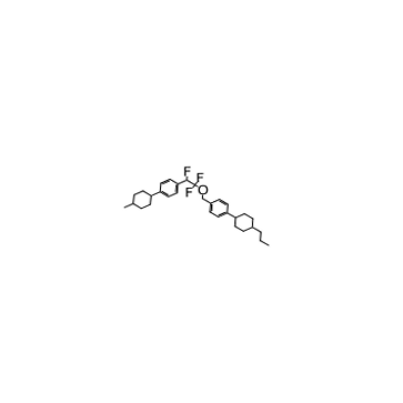 CCCC1CCC(c2ccc(COC(F)(F)C(F)c3ccc(C4CCC(C)CC4)cc3)cc2)CC1